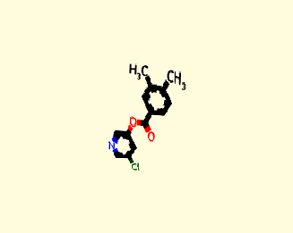 Cc1ccc(C(=O)Oc2cncc(Cl)c2)cc1C